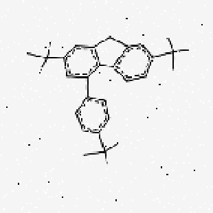 CC(C)(C)c1ccc(-c2cc(C(C)(C)C)cc3c2-c2ccc(C(C)(C)C)cc2C3)cc1